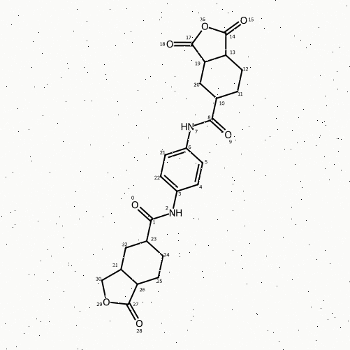 O=C(Nc1ccc(NC(=O)C2CCC3C(=O)OC(=O)C3C2)cc1)C1CCC2C(=O)OCC2C1